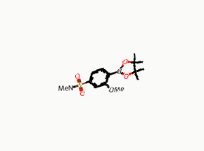 CNS(=O)(=O)c1ccc(B2OC(C)(C)C(C)(C)O2)c(OC)c1